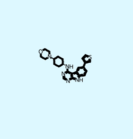 c1nc(N[C@H]2CC[C@H](N3CCOCC3)CC2)c2c(n1)[nH]c1ccc(-c3ccsc3)cc12